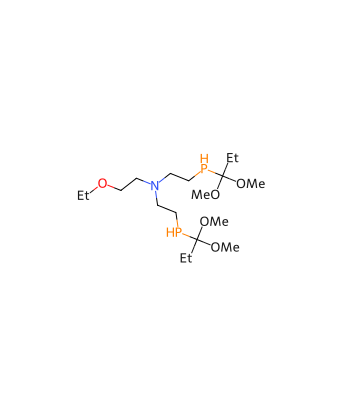 CCOCCN(CCPC(CC)(OC)OC)CCPC(CC)(OC)OC